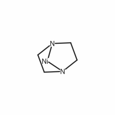 C1C[N]2CC[N]1[Ni]2